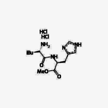 CC[C@H](C)[C@H](N)C(=O)N[C@@H](Cc1c[nH]cn1)C(=O)OC.Cl.Cl